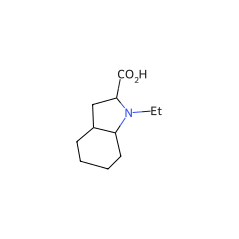 CCN1C(C(=O)O)CC2CCCCC21